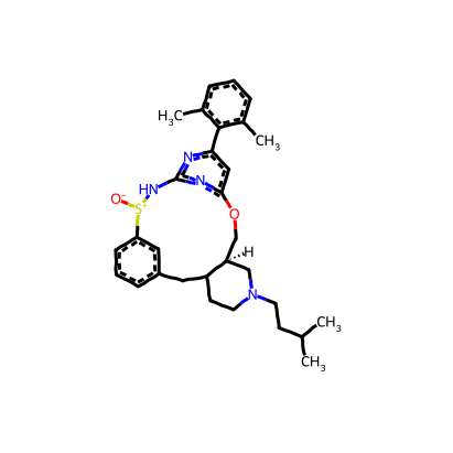 Cc1cccc(C)c1-c1cc2nc(n1)N[S+]([O-])c1cccc(c1)CC1CCN(CCC(C)C)C[C@@H]1CO2